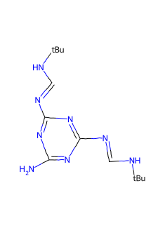 CC(C)(C)NC=Nc1nc(N)nc(N=CNC(C)(C)C)n1